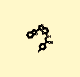 OC(CNc1ccc2ncc(-c3cc4ccccc4o3)n2n1)c1ccc(F)cc1